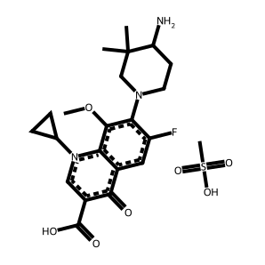 COc1c(N2CCC(N)C(C)(C)C2)c(F)cc2c(=O)c(C(=O)O)cn(C3CC3)c12.CS(=O)(=O)O